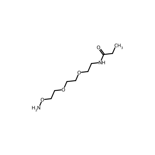 CCC(=O)NCCOCCOCCON